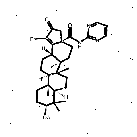 CC(=O)O[C@H]1CC[C@]2(C)[C@H]3CC[C@@H]4C5=C(C(C)C)C(=O)C[C@]5(C(=O)Nc5ncccn5)CC[C@@]4(C)[C@]3(C)CC[C@H]2C1(C)C